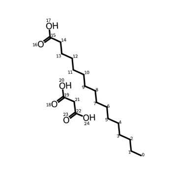 CCCCCCCCCCCCCCCC(=O)O.O=C(O)CC(=O)O